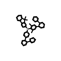 Cc1cc(-c2ccccc2-c2ccccc2)cc(C)c1N(c1ccc(-c2ccccc2-c2ccccc2)cc1)c1ccc2c(c1)C(C)(C)c1ccccc1-2